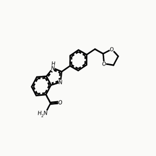 NC(=O)c1cccc2[nH]c(-c3ccc(CC4OCCO4)cc3)nc12